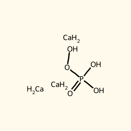 O=P(O)(O)OO.[CaH2].[CaH2].[CaH2]